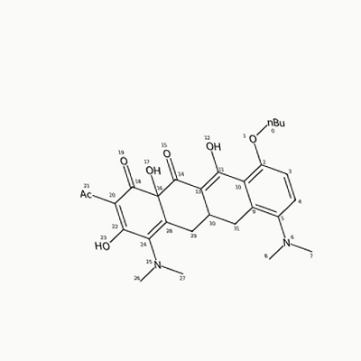 CCCCOc1ccc(N(C)C)c2c1C(O)=C1C(=O)C3(O)C(=O)C(C(C)=O)=C(O)C(N(C)C)=C3CC1C2